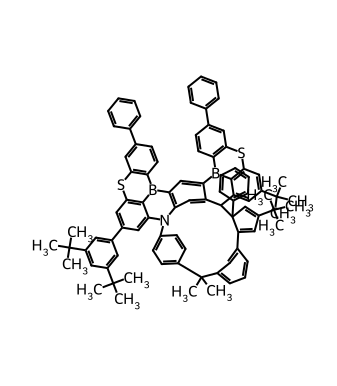 CC(C)(C)C1=CC2(c3ccccc3)C(=C1)c1cccc(c1)C(C)(C)c1ccc(cc1)N1c3cc4c(cc3B3c5ccc(-c6ccccc6)cc5Sc5cc(-c6cc(C(C)(C)C)cc(C(C)(C)C)c6)cc1c53)B1c3ccc(-c5ccccc5)cc3Sc3cc(C(C)(C)C)cc(c31)C42